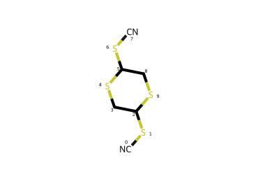 N#CSC1CSC(SC#N)CS1